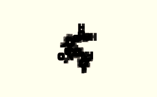 Cc1cc(F)ccc1Nc1ccc(C(=O)c2cc(OCC(O)CO)ccc2C)c([N+](=O)[O-])c1